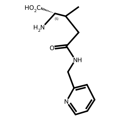 CC(CC(=O)NCc1ccccn1)[C@H](N)C(=O)O